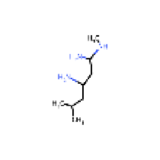 CNC(N)CC(N)CC(C)C